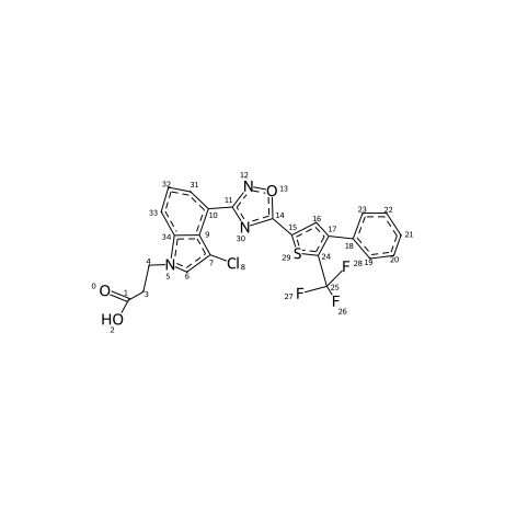 O=C(O)CCn1cc(Cl)c2c(-c3noc(-c4cc(-c5ccccc5)c(C(F)(F)F)s4)n3)cccc21